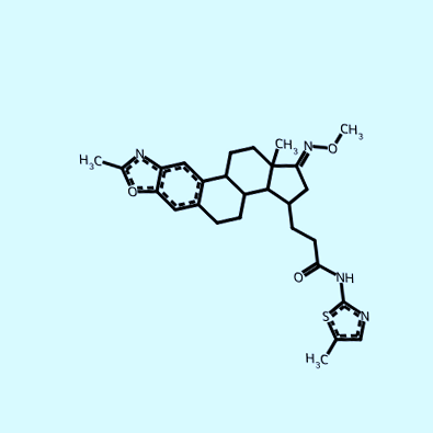 CO/N=C1\CC(CCC(=O)Nc2ncc(C)s2)C2C3CCc4cc5oc(C)nc5cc4C3CCC12C